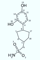 NS(=O)(=O)CC1CCC(c2ccc(O)cc2O)CC1